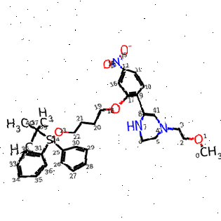 COCCN1CCNC(c2ccc([N+](=O)[O-])cc2OCCCCO[Si](c2ccccc2)(c2ccccc2)C(C)(C)C)C1